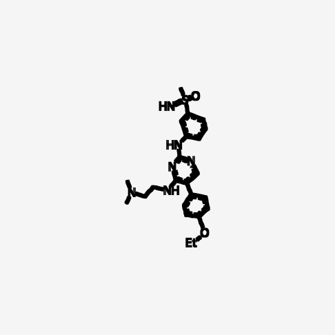 CCOc1ccc(-c2cnc(Nc3cccc(S(C)(=N)=O)c3)nc2NCCN(C)C)cc1